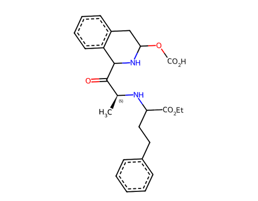 CCOC(=O)C(CCc1ccccc1)N[C@@H](C)C(=O)C1NC(OC(=O)O)Cc2ccccc21